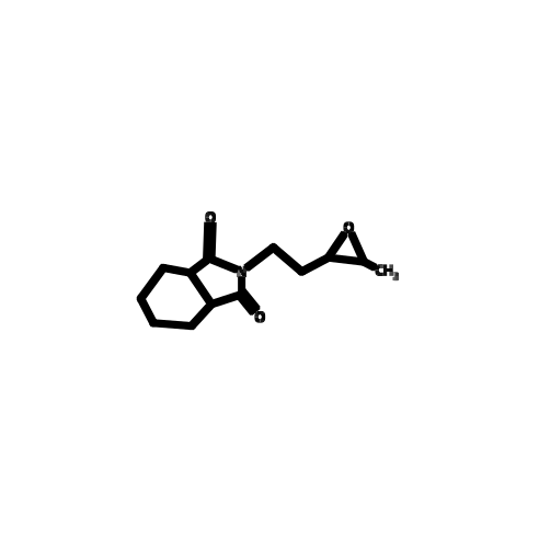 CC1OC1CCN1C(=O)C2CCCCC2C1=O